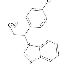 O=C(O)CC(c1ccc(Cl)cc1)n1cnc2ccccc21